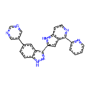 c1ccc(-c2nccc3[nH]c(-c4n[nH]c5ccc(-c6cncnc6)cc45)cc23)nc1